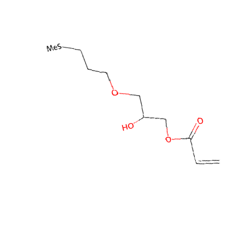 C=CC(=O)OCC(O)COCCCSC